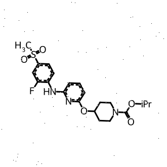 CC(C)OC(=O)N1CCC(Oc2cccc(Nc3ccc(S(C)(=O)=O)cc3F)n2)CC1